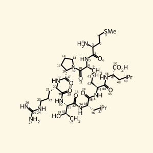 CSCC[C@H](N)C(=O)N[C@@H](C)C(=O)N1CCC[C@H]1C(=O)N[C@@H](CCCNC(=N)N)C(=O)N[C@H](C(=O)N[C@@H](CC(C)C)C(=O)N[C@@H](CS)C(=O)N[C@@H](CC(C)C)C(=O)O)[C@@H](C)O